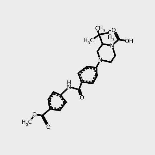 COC(=O)c1ccc(NC(=O)c2ccc(N3CCN(C(=O)O)C(C(C)(C)C)C3)cc2)cc1